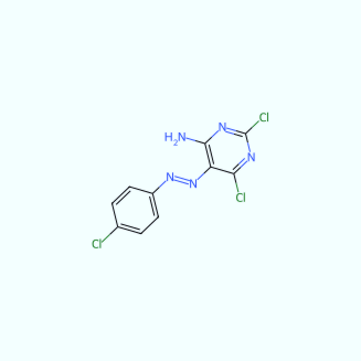 Nc1nc(Cl)nc(Cl)c1/N=N/c1ccc(Cl)cc1